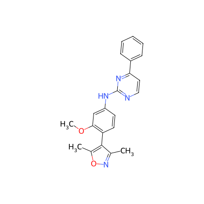 COc1cc(Nc2nccc(-c3ccccc3)n2)ccc1-c1c(C)noc1C